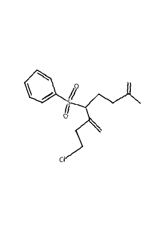 C=C(C)CCC(C(=C)CCCl)S(=O)(=O)c1ccccc1